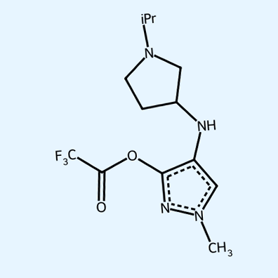 CC(C)N1CCC(Nc2cn(C)nc2OC(=O)C(F)(F)F)C1